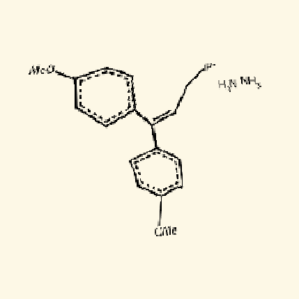 COc1ccc(C(=CCC(C)C)c2ccc(OC)cc2)cc1.N.N